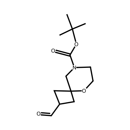 CC(C)(C)OC(=O)N1CCOC2(CC(C=O)C2)C1